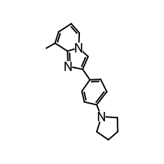 Cc1cccn2cc(-c3ccc(N4CCCC4)cc3)nc12